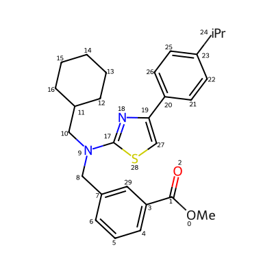 COC(=O)c1cccc(CN(CC2CCCCC2)c2nc(-c3ccc(C(C)C)cc3)cs2)c1